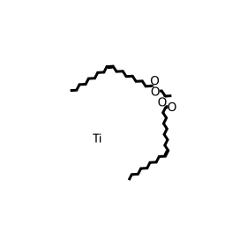 CCCCCCCC/C=C\CCCCCCCC(=O)OCC(C)OC(=O)CCCCCCC/C=C\CCCCCCCC.[Ti]